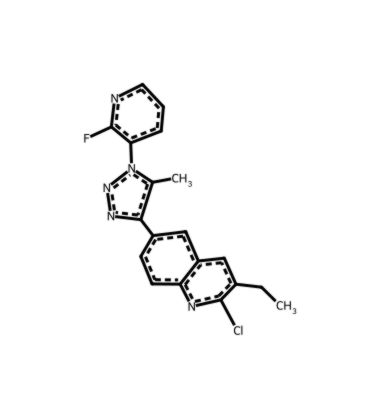 CCc1cc2cc(-c3nnn(-c4cccnc4F)c3C)ccc2nc1Cl